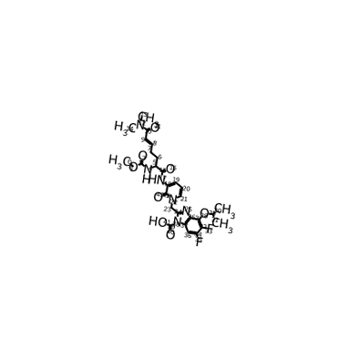 COC(=O)NC(CCC=CC(=O)N(C)C)C(=O)Nc1cccn(Cc2nc3c(OC(C)C)c(F)c(F)cc3n2C(=O)O)c1=O